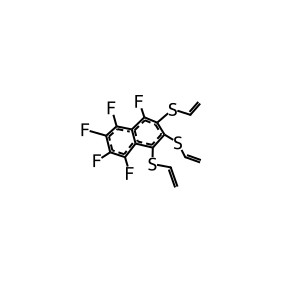 C=CSc1c(SC=C)c(SC=C)c2c(F)c(F)c(F)c(F)c2c1F